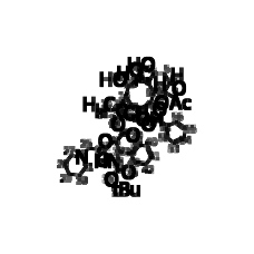 CC(=O)O[C@@]12CO[C@@H]1C[C@H](O)[C@@]1(C)C(=O)[C@H](O)C3=C(C)[C@@H](OC(=O)[C@H](OC(=O)CN4CCCCC4)[C@@H](NC(=O)OC(C)(C)C)c4ccccc4)C[C@@](O)([C@@H](OC(=O)c4ccccc4)[C@@H]21)C3(C)C